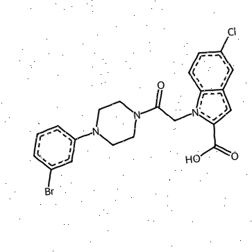 O=C(O)c1cc2cc(Cl)ccc2n1CC(=O)N1CCN(c2cccc(Br)c2)CC1